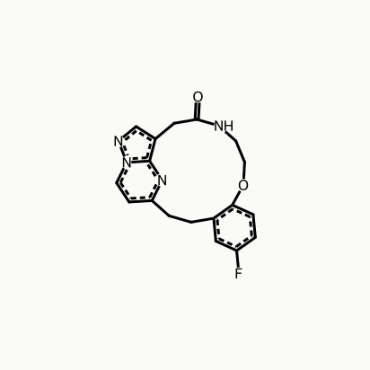 O=C1Cc2cnn3ccc(nc23)CCc2cc(F)ccc2OCCN1